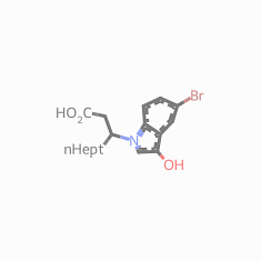 CCCCCCCC(CC(=O)O)n1cc(O)c2cc(Br)ccc21